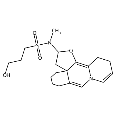 CN(C1CC23CCCCC2=CN2C=CCCC2=C3O1)S(=O)(=O)CCCO